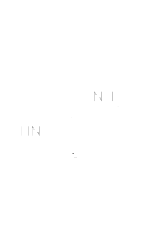 C1CCNCC1.NC(=S)[S-].[K+]